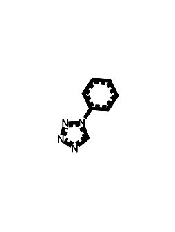 c1ccc(-n2cnnn2)cc1